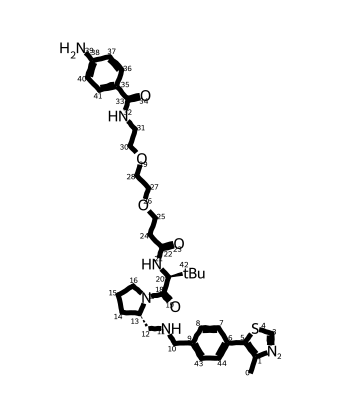 Cc1ncsc1-c1ccc(CNC[C@@H]2CCCN2C(=O)[C@@H](NC(=O)CCOCCOCCNC(=O)c2ccc(N)cc2)C(C)(C)C)cc1